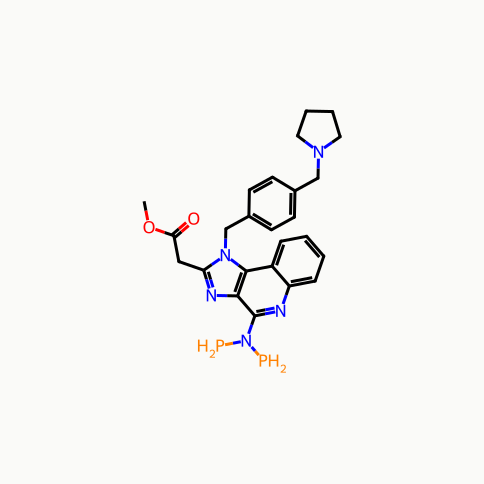 COC(=O)Cc1nc2c(N(P)P)nc3ccccc3c2n1Cc1ccc(CN2CCCC2)cc1